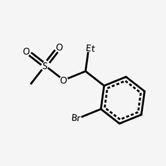 CCC(OS(C)(=O)=O)c1ccccc1Br